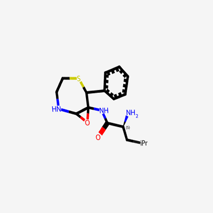 CC(C)C[C@H](N)C(=O)NC12OC1NCCSC2c1ccccc1